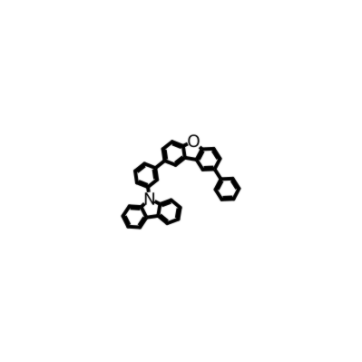 c1ccc(-c2ccc3oc4ccc(-c5cccc(-n6c7ccccc7c7ccccc76)c5)cc4c3c2)cc1